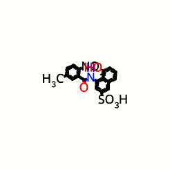 Cc1ccc([N+](=O)[O-])c(C(=O)Nc2cc(S(=O)(=O)O)cc3cccc(O)c23)c1